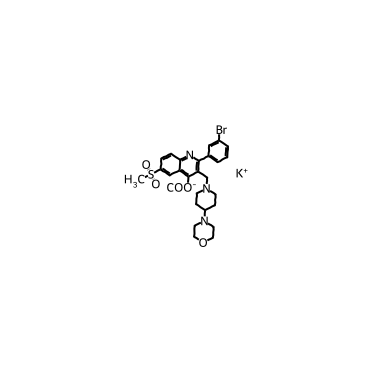 CS(=O)(=O)c1ccc2nc(-c3cccc(Br)c3)c(CN3CCC(N4CCOCC4)CC3)c(C(=O)[O-])c2c1.[K+]